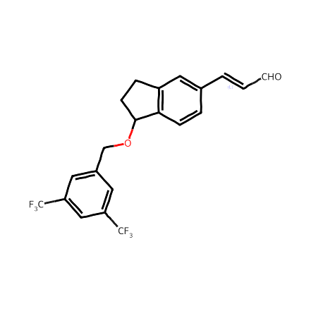 O=C/C=C/c1ccc2c(c1)CCC2OCc1cc(C(F)(F)F)cc(C(F)(F)F)c1